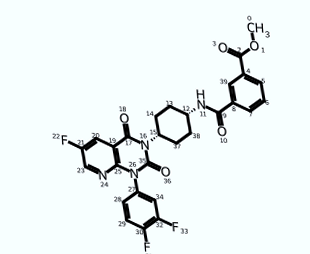 COC(=O)c1cccc(C(=O)N[C@H]2CC[C@@H](n3c(=O)c4cc(F)cnc4n(-c4ccc(F)c(F)c4)c3=O)CC2)c1